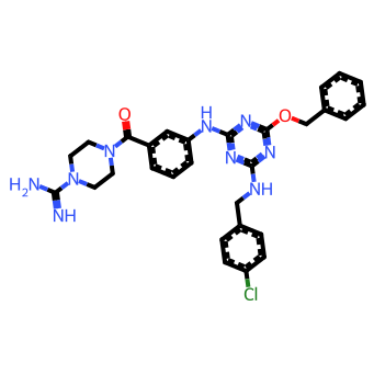 N=C(N)N1CCN(C(=O)c2cccc(Nc3nc(NCc4ccc(Cl)cc4)nc(OCc4ccccc4)n3)c2)CC1